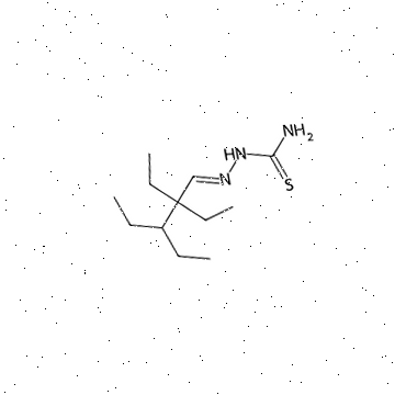 CCC(CC)C(C=NNC(N)=S)(CC)CC